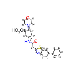 O=C(Cc1nc2ccc(-c3ccccc3)cc2s1)Nc1ccc(N2CCOCC2)c(C(=O)O)c1